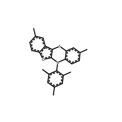 Cc1cc(C)c(N2c3ccc(C)cc3Sc3c2oc2ccc(C)cc32)c(C)c1